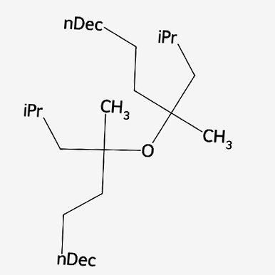 CCCCCCCCCCCCC(C)(CC(C)C)OC(C)(CCCCCCCCCCCC)CC(C)C